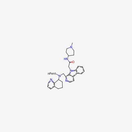 CCCCCN(Cc1nccc2c3ccccc3n(CC(=O)NC3CCN(C)CC3)c12)C1CCCc2cccnc21